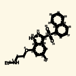 CCNCCOc1cc(F)cc2c(S(=O)(=O)c3cccc4ccccc34)n[nH]c12